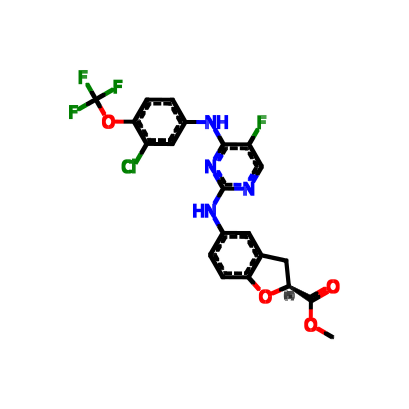 COC(=O)[C@@H]1Cc2cc(Nc3ncc(F)c(Nc4ccc(OC(F)(F)F)c(Cl)c4)n3)ccc2O1